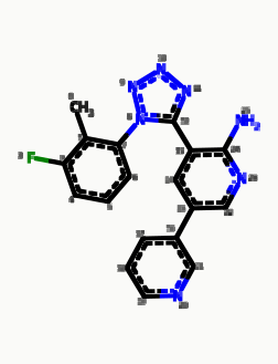 Cc1c(F)cccc1-n1nnnc1-c1cc(-c2cccnc2)cnc1N